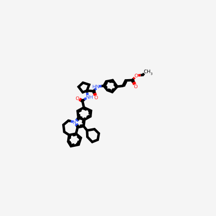 CCOC(=O)/C=C/c1ccc(NC(=O)C2(NC(=O)c3ccc4c(C5CCCCC5)c5n(c4c3)CCCc3ccccc3-5)CCCC2)cc1